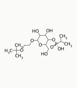 CC(C)P(=O)(O)OC1C(CO)OC(OCCOC(C)(C)C)C(O)C1O